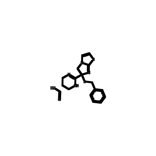 C1=CN2CC(SCc3ccccc3)(C3=NCCCN3)N=C2S1.O=CO